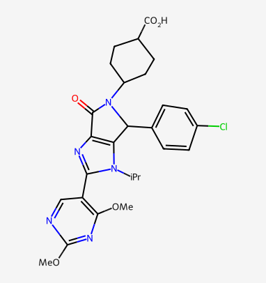 COc1ncc(-c2nc3c(n2C(C)C)C(c2ccc(Cl)cc2)N(C2CCC(C(=O)O)CC2)C3=O)c(OC)n1